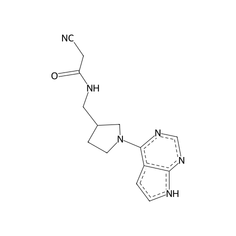 N#CCC(=O)NCC1CCN(c2ncnc3[nH]ccc23)C1